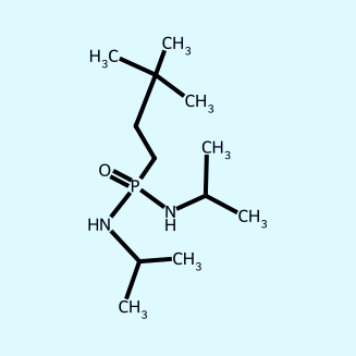 CC(C)NP(=O)(CCC(C)(C)C)NC(C)C